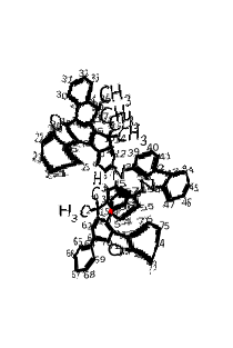 CC1(C)c2cc(N(c3ccc4c(c3)C(C)(C)c3c5c(c6oc7ccccc7c6c3-4)-c3ccccc3C5(C)C)c3cccc4c5ccccc5n(-c5ccccc5)c34)ccc2-c2c1cc(-c1ccccc1)c1oc3ccccc3c21